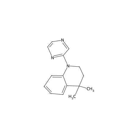 CC1(C)CCN(c2cnccn2)c2cc[c]cc21